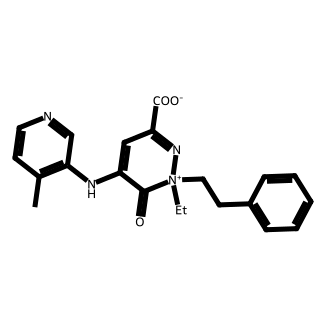 CC[N+]1(CCc2ccccc2)N=C(C(=O)[O-])C=C(Nc2cnccc2C)C1=O